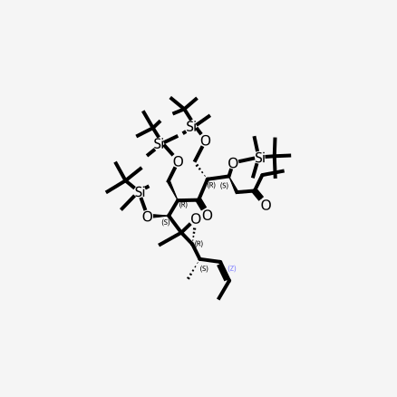 C/C=C\[C@H](C)[C@H]1OC1(C)[C@@H](O[Si](C)(C)C(C)(C)C)[C@@H](CO[Si](C)(C)C(C)(C)C)C(=O)[C@H](CO[Si](C)(C)C(C)(C)C)[C@H](CC(=O)CC)O[Si](C)(C)C(C)(C)C